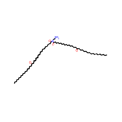 CCCCCCCCCCCCCCCCCC(=O)CCCCCCCCCCCCCCCC(=O)N(CCN)C(=O)CCCCCCCCCCCCCCCC(=O)CCCCCCCCCCCCCCCCC